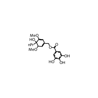 CCCC1(O)C(OC)=CC(COC(=O)c2cc(O)c(O)c(O)c2)=CC1OC